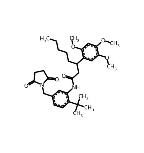 CCCCCC(CC(=O)Nc1cc(CN2C(=O)CCC2=O)ccc1C(C)(C)C)c1cc(OC)c(OC)cc1OC